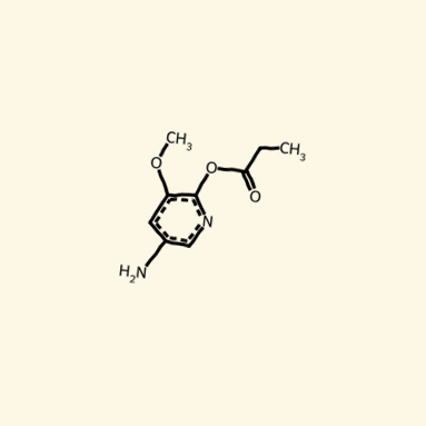 CCC(=O)Oc1ncc(N)cc1OC